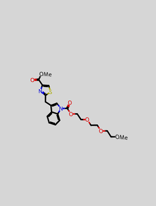 COCCOCCOCCOC(=O)n1cc(Cc2nc(C(=O)OC)cs2)c2ccccc21